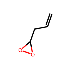 C=CCC1OO1